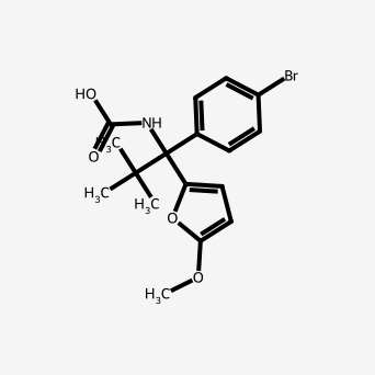 COc1ccc(C(NC(=O)O)(c2ccc(Br)cc2)C(C)(C)C)o1